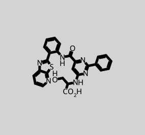 O=C(Nc1ccccc1-c1nc2cccnc2s1)c1cc(NC(CO)C(=O)O)nc(-c2ccccc2)n1